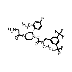 Cc1cc(F)ccc1[C@H]1CN(C(=O)CN)CCN1OC(=O)N(C)Cc1cc(C(F)(F)F)cc(C(F)(F)F)c1